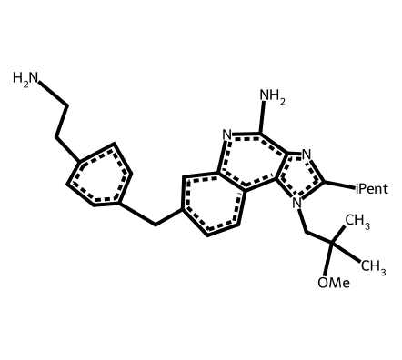 CCCC(C)c1nc2c(N)nc3cc(Cc4ccc(CCN)cc4)ccc3c2n1CC(C)(C)OC